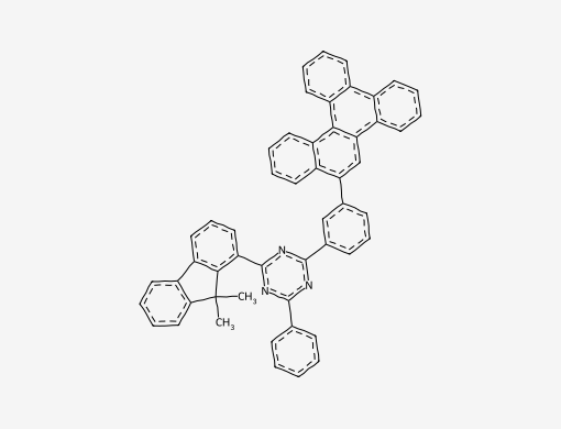 CC1(C)c2ccccc2-c2cccc(-c3nc(-c4ccccc4)nc(-c4cccc(-c5cc6c7ccccc7c7ccccc7c6c6ccccc56)c4)n3)c21